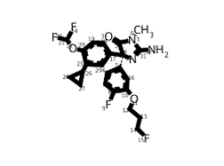 CN1C(=O)[C@](c2ccc(F)c(OCCCF)c2)(c2ccc(OC(F)F)c(C3CC3)c2)N=C1N